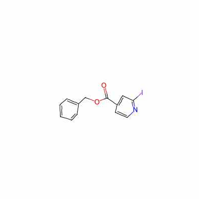 O=C(OCc1ccccc1)c1ccnc(I)c1